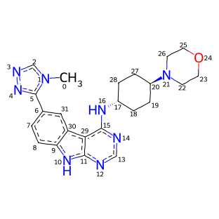 Cn1cnnc1-c1ccc2[nH]c3ncnc(N[C@H]4CC[C@H](N5CCOCC5)CC4)c3c2c1